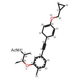 CC(=O)N[C@@H](C)[C@H](C)Oc1cc(C#CC2C=CC(OCC3CC3)=CC2)ccc1C